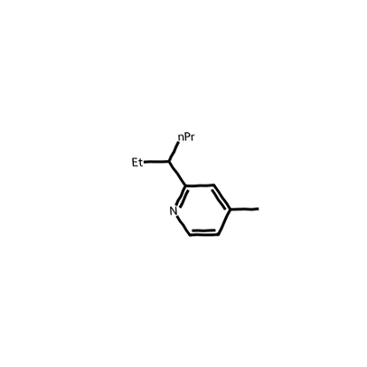 CCCC(CC)c1cc(C)ccn1